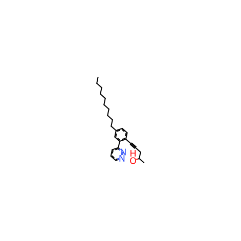 CCCCCCCCCCc1ccc(C#CCC(C)O)c(-c2cccnn2)c1